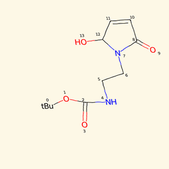 CC(C)(C)OC(=O)NCCN1C(=O)C=CC1O